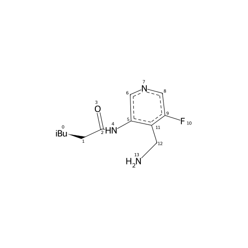 CC[C@H](C)CC(=O)Nc1cncc(F)c1CN